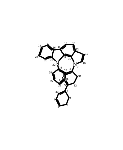 C1=CCCC(C2=NC=C(n3ccc4ccc5c6ccccc6n(-c6ccccc6)c5c43)CC2)=C1